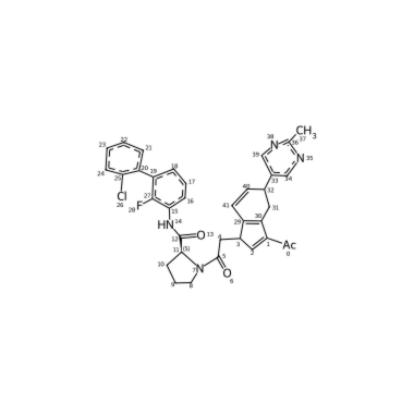 CC(=O)C1=CC(CC(=O)N2CCC[C@H]2C(=O)Nc2cccc(-c3ccccc3Cl)c2F)C2=C1CC(c1cnc(C)nc1)C=C2